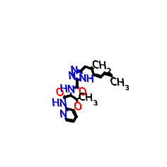 C=C(/C=C\C=C/C)Cc1nnc(C(=O)N[C@@H]2C(=O)Nc3ncccc3O[C@@H]2C)[nH]1